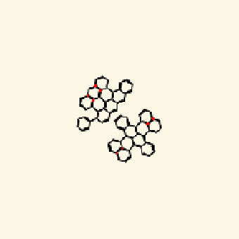 c1ccc(-c2c3ccccc3c(-c3ccccc3)c3c(-c4ccccc4)c4ccccc4c(-c4ccccc4)c23)cc1.c1ccc(-c2ccc3cc4cc5ccccc5c(-c5ccccc5)c4c(-c4ccccc4)c3c2-c2ccccc2)cc1